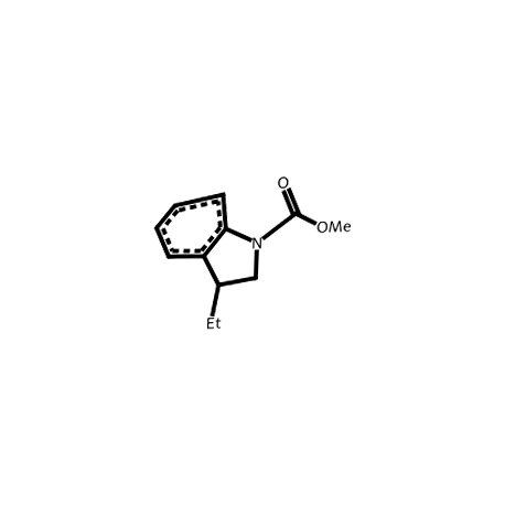 [CH2]CC1CN(C(=O)OC)c2ccccc21